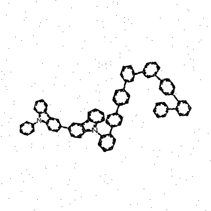 c1ccc(-c2ccccc2-c2ccc(-c3cccc(-c4cccc(-c5ccc(-c6ccc(-c7ccccc7-n7c8ccccc8c8cc(-c9ccc%10c(c9)c9ccccc9n%10-c9ccccc9)ccc87)cc6)cc5)c4)c3)cc2)cc1